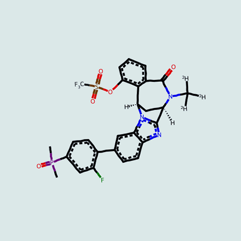 [2H]C([2H])([2H])N1C(=O)c2cccc(OS(=O)(=O)C(F)(F)F)c2[C@H]2C[C@@H]1c1nc3ccc(-c4ccc(P(C)(C)=O)cc4F)cc3n12